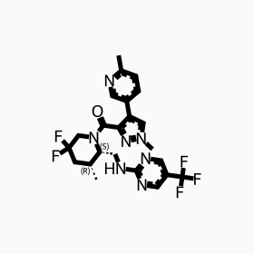 Cc1ccc(-c2cn(C)nc2C(=O)N2CC(F)(F)C[C@@H](C)[C@H]2CNc2ncc(C(F)(F)F)cn2)cn1